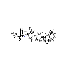 CN(Cc1c(Cl)cccc1Cl)C1CCN(c2cc(F)c(/C=N/NC(N)=S)cc2F)CC1